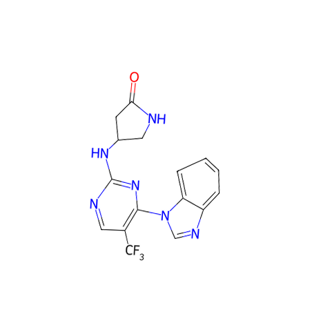 O=C1CC(Nc2ncc(C(F)(F)F)c(-n3cnc4ccccc43)n2)CN1